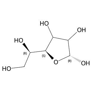 OC[C@@H](O)[C@@H]1O[C@@H](O)C(O)C1O